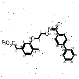 CCC(=NOCCOc1cc(CC(=O)O)ccc1C)c1ccc(-c2ccccc2)cc1